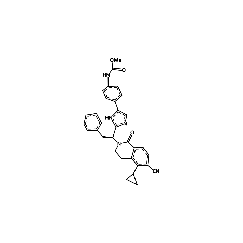 COC(=O)Nc1ccc(-c2cnc([C@H](Cc3ccccc3)N3CCc4c(ccc(C#N)c4C4CC4)C3=O)[nH]2)cc1